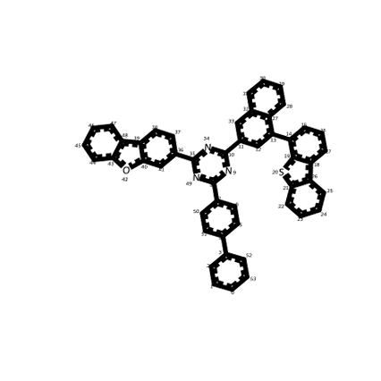 c1ccc(-c2ccc(-c3nc(-c4cc(-c5cccc6c5sc5ccccc56)c5ccccc5c4)nc(-c4ccc5c(c4)oc4ccccc45)n3)cc2)cc1